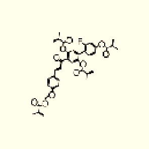 C=C(C)C(=O)OCOc1ccc(/C=C/C(=O)c2cc(OC(=O)C(=C)C)c(-c3ccc(OC(=O)C(=C)C)cc3F)cc2OC(=O)C(=C)C)cc1